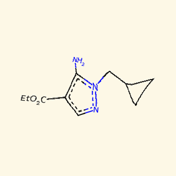 CCOC(=O)c1cnn(CC2CC2)c1N